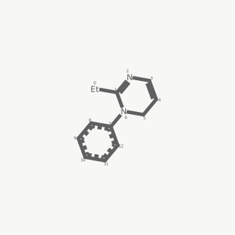 CCC1=NC=CCN1c1ccccc1